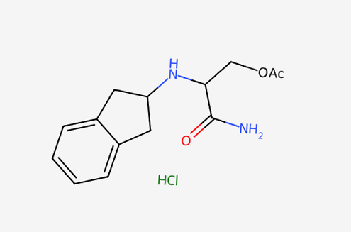 CC(=O)OCC(NC1Cc2ccccc2C1)C(N)=O.Cl